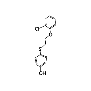 Oc1ccc(SCCOc2ccccc2Cl)cc1